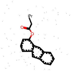 CC(C)CC(=O)Oc1cccc2cc3ccccc3cc12